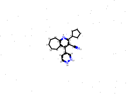 N#Cc1c(C2CCCC2)nc2c(c1-c1ccnnc1)CCCCC2